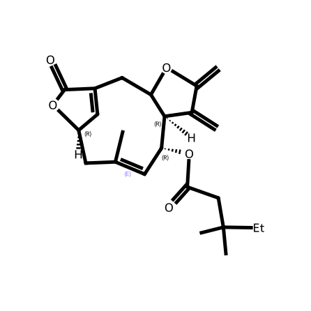 C=C1OC2CC3=C[C@@H](C/C(C)=C/[C@@H](OC(=O)CC(C)(C)CC)[C@@H]2C1=C)OC3=O